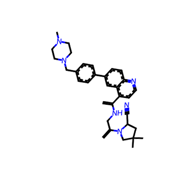 C=C(NCC(=C)N1CC(C)(C)CC1C#N)c1ccnc2ccc(-c3ccc(CN4CCN(C)CC4)cc3)cc12